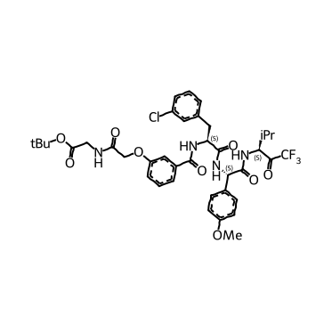 COc1ccc([C@H](NC(=O)[C@H](Cc2cccc(Cl)c2)NC(=O)c2cccc(OCC(=O)NCC(=O)OC(C)(C)C)c2)C(=O)N[C@H](C(=O)C(F)(F)F)C(C)C)cc1